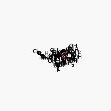 CC(C)CCC(=O)N[C@H]1C(=O)N[C@@H](CC(N)=O)C(=O)N[C@H]2C(=O)N[C@H]3C(=O)N[C@H](C(=O)N[C@@H](C(=O)O)c4cc(O)cc(O)c4-c4cc3ccc4O)[C@H](OC3C[C@](C)(N)[C@@H](O)[C@H](C)O3)c3ccc(c(Cl)c3)Oc3cc2cc(c3O[C@@H]2O[C@H](CO)[C@@H](OC3O[C@H](CNCc4ccc(-c5ccc(Cl)cc5)nn4)[C@H](O)C[C@H]3O)[C@H](O)[C@H]2O)Oc2ccc(cc2Cl)[C@H]1O